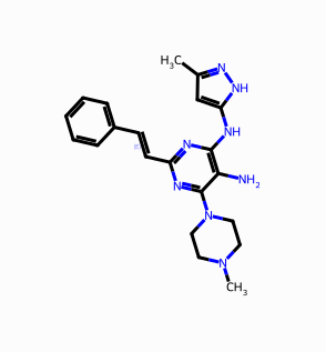 Cc1cc(Nc2nc(/C=C/c3ccccc3)nc(N3CCN(C)CC3)c2N)[nH]n1